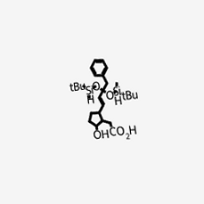 C[SiH](OC(C=CC1CCC(O)C1CC(=O)O)(Cc1ccccc1)O[SiH](C)C(C)(C)C)C(C)(C)C